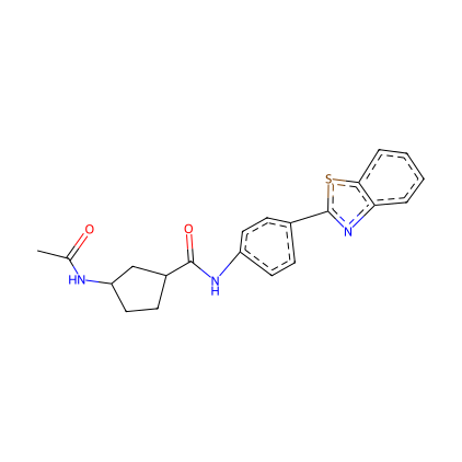 CC(=O)NC1CCC(C(=O)Nc2ccc(-c3nc4ccccc4s3)cc2)C1